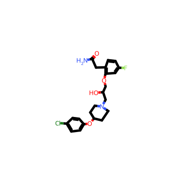 NC(=O)Cc1ccc(F)cc1OCC(O)CN1CCC(Oc2ccc(Cl)cc2)CC1